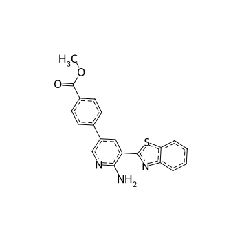 COC(=O)c1ccc(-c2cnc(N)c(-c3nc4ccccc4s3)c2)cc1